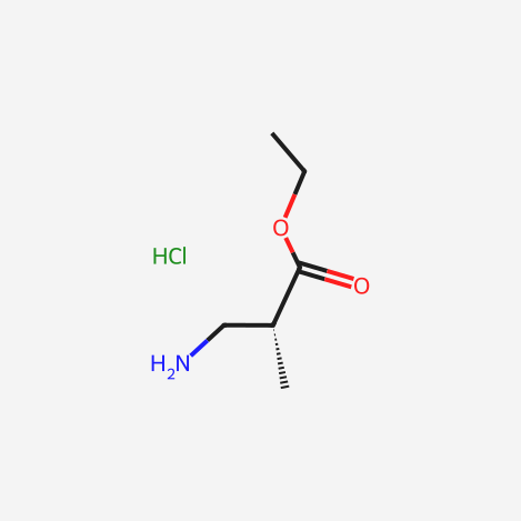 CCOC(=O)[C@H](C)CN.Cl